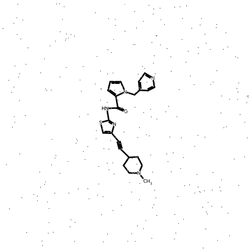 CN1CCC(C#Cc2csc(NC(=O)c3cccn3Cc3ccncc3)n2)CC1